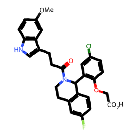 COc1ccc2[nH]cc(CCC(=O)N3CCc4cc(F)ccc4C3c3cc(Cl)ccc3OCC(=O)O)c2c1